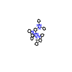 CC1(C)c2ccccc2-c2ccc3c4ccccc4n(-c4nc(-c5ccccc5)nc(-c5cc(-c6nc(-c7ccccc7)nc(-c7ccccc7)n6)ccc5-n5c6ccccc6c6ccccc65)n4)c3c21